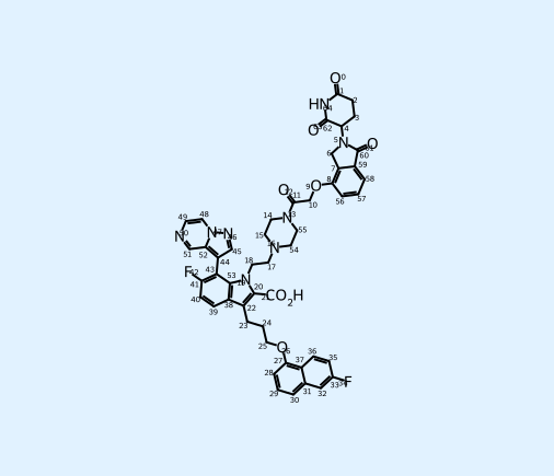 O=C1CCC(N2Cc3c(OCC(=O)N4CCN(CCn5c(C(=O)O)c(CCCOc6cccc7cc(F)ccc67)c6ccc(F)c(-c7cnn8ccncc78)c65)CC4)cccc3C2=O)C(=O)N1